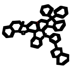 CC12C=Cc3ccccc3C1Oc1c(-c3ccccc3N(c3cccc(-c4ccc5ccccc5c4)c3)c3cccc4c3-c3ccccc3C4(c3ccccc3)c3ccccc3)cccc12